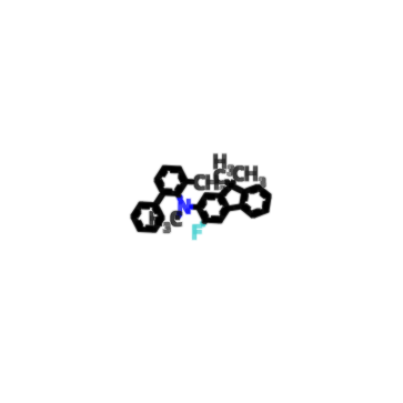 Cc1cccc(-c2ccccc2)c1N(C)c1cc2c(cc1F)-c1ccccc1C2(C)C